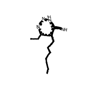 CCCCCCc1c(CC)nn[nH]c1=N